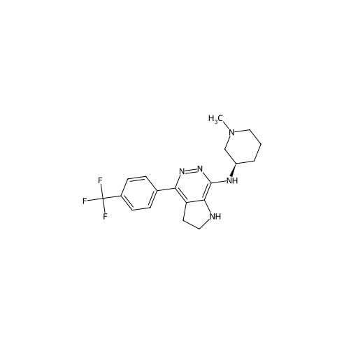 CN1CCC[C@@H](Nc2nnc(-c3ccc(C(F)(F)F)cc3)c3c2NCC3)C1